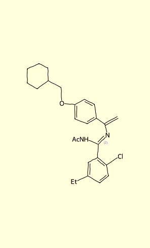 C=C(/N=C(\NC(C)=O)c1cc(CC)ccc1Cl)c1ccc(OCC2CCCCC2)cc1